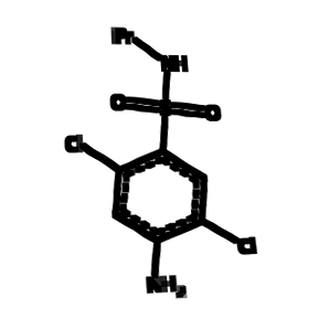 CC(C)NS(=O)(=O)c1cc(Cl)c(N)cc1Cl